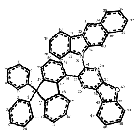 c1ccc(C2(c3ccccc3)c3ccccc3-c3c(-c4nc5c(nc4-n4c6ccccc6c6cc7ccccc7cc64)oc4ccccc45)cccc32)cc1